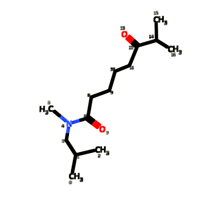 CC(C)CN(C)C(=O)CCCCC(=O)C(C)C